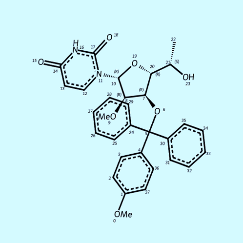 COc1ccc(C(O[C@H]2[C@@H](OC)[C@H](n3ccc(=O)[nH]c3=O)O[C@@H]2[C@H](C)O)(c2ccccc2)c2ccccc2)cc1